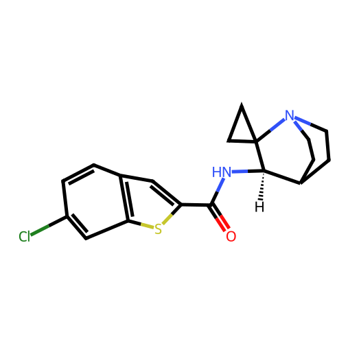 O=C(N[C@@H]1C2CCN(CC2)C12CC2)c1cc2ccc(Cl)cc2s1